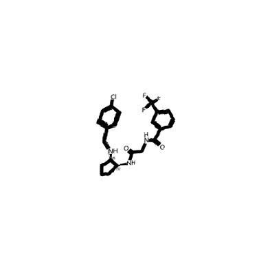 O=C(CNC(=O)c1cccc(C(F)(F)F)c1)N[C@H]1CCC[C@H]1NCc1ccc(Cl)cc1